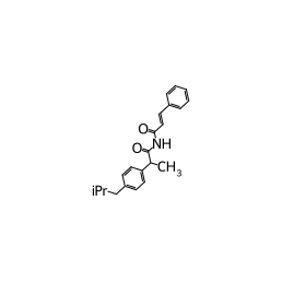 CC(C)Cc1ccc(C(C)C(=O)NC(=O)/C=C/c2ccccc2)cc1